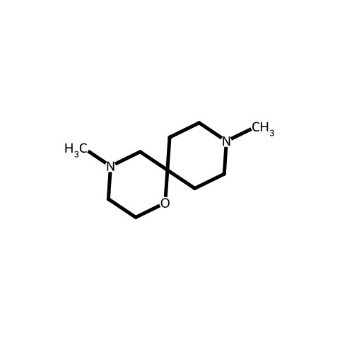 CN1CCC2(CC1)CN(C)CCO2